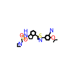 CC(C)Oc1ccc(-c2ncc(-c3cccc4c3CC[C@H]4NS(=O)(=O)CCN3CCC3)s2)cc1C#N